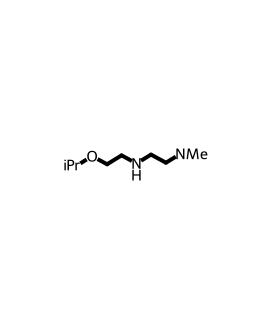 CNCCNCCOC(C)C